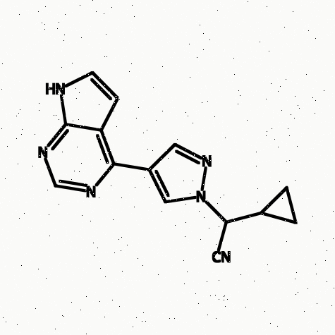 N#CC(C1CC1)n1cc(-c2ncnc3[nH]ccc23)cn1